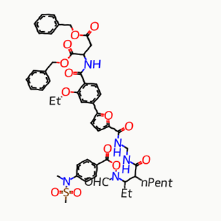 CCCCCC(C(=O)NCNC(=O)c1ccc(-c2ccc(C(=O)NC(CC(=O)OCc3ccccc3)C(=O)OCc3ccccc3)c(OCC)c2)o1)C(CC)N(C=O)OC(=O)c1ccc(N(C)S(C)(=O)=O)cc1